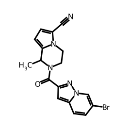 CC1c2ccc(C#N)n2CCN1C(=O)c1cc2ccc(Br)cn2n1